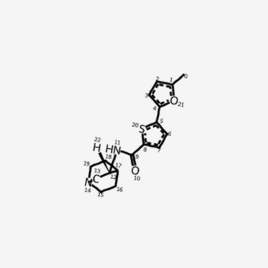 Cc1ccc(-c2ccc(C(=O)N[C@H]3CN4CCC3CC4)s2)o1